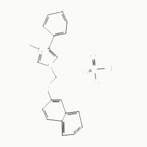 C[n+]1cn(COc2ccc3ccccc3c2)cc1-c1ccccc1.O=S(=O)([O-])C(F)(F)F